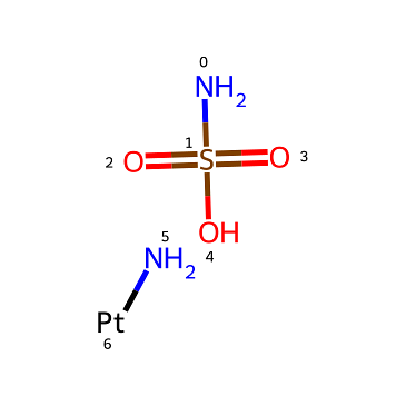 NS(=O)(=O)O.[NH2][Pt]